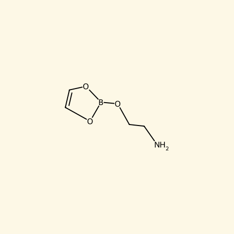 NCCOB1OC=CO1